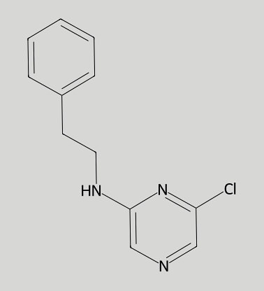 Clc1cncc(NCCc2ccccc2)n1